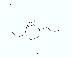 CCCC1CCC(CC)C[C@@H]1C